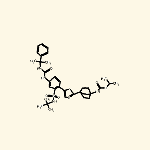 CC(C)OC(=O)NC12CCC(c3ncc(-c4ccc(NC(=O)NC(C)(C)c5ccccc5)cc4S(=O)(=O)NC(C)(C)C)s3)(CC1)CC2